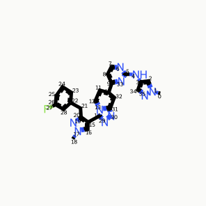 Cn1cc(Nc2nccc(-c3ccn4c(-c5cn(C)nc5Cc5cccc(F)c5)nnc4c3)n2)cn1